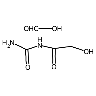 NC(=O)NC(=O)CO.O=CO